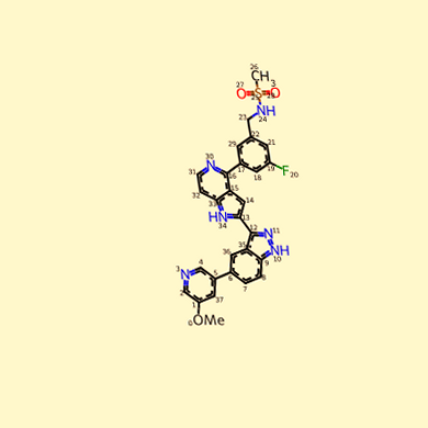 COc1cncc(-c2ccc3[nH]nc(-c4cc5c(-c6cc(F)cc(CNS(C)(=O)=O)c6)nccc5[nH]4)c3c2)c1